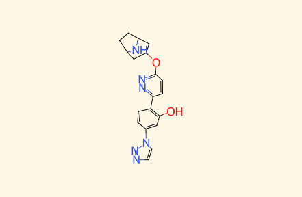 Oc1cc(-n2ccnn2)ccc1-c1ccc(OC2CC3CCC(C2)N3)nn1